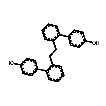 Oc1ccc(-c2ccccc2CCc2ccccc2-c2ccc(O)cc2)cc1